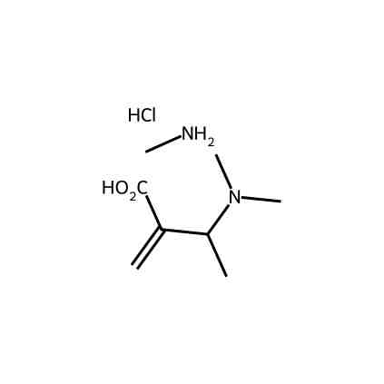 C=C(C(=O)O)C(C)N(C)C.CN.Cl